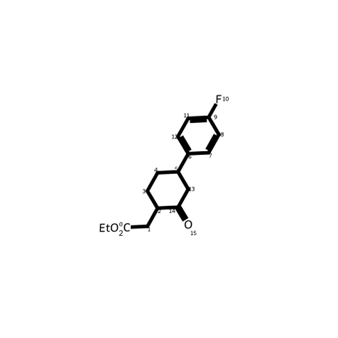 CCOC(=O)CC1CCC(c2ccc(F)cc2)CC1=O